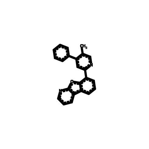 Cc1cnc(-c2cccc3c2oc2ncccc23)cc1-c1ccccc1